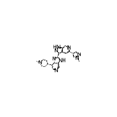 CN1CCC(c2cncc3[nH]c(-c4n[nH]c5cnc(-c6cnn(C)c6)cc45)nc23)CC1